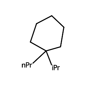 [CH2]C(C)C1(CCC)CCCCC1